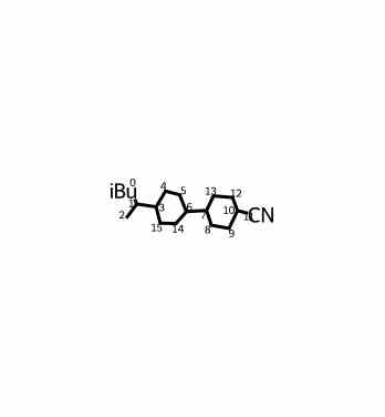 CCC(C)C(C)C1CCC(C2CCC(C#N)CC2)CC1